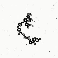 Cc1cc(-c2ccc(CCc3ccc(OC4CCN(C(=O)CCOCCNC(=O)COc5cccc6c5C(=O)N(C5CCC(=O)CC5=O)C6=O)CC4)cc3)c(-c3ccc(Cl)c(C)c3)c2O)n(C)n1